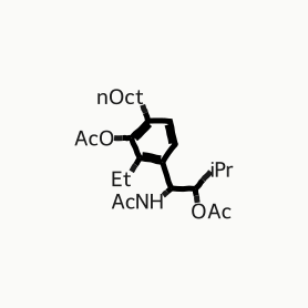 CCCCCCCCc1ccc(C(NC(C)=O)C(OC(C)=O)C(C)C)c(CC)c1OC(C)=O